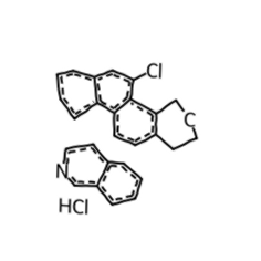 Cl.Clc1cc2ccccc2c2ccc3c(c12)CCCC3.c1ccc2cnccc2c1